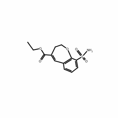 CCOC(=O)C1=Cc2cccc(S(N)(=O)=O)c2OCC1